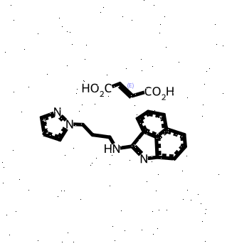 O=C(O)/C=C/C(=O)O.c1cc2c3c(cccc3c1)C(NCCCn1cccn1)=N2